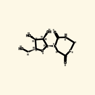 O=C1CCNC(=O)N([C@@H]2O[C@H](CO)[C@@H](O)[C@H]2O)C1